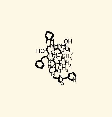 CC(C)(C)[C@H](NC(=O)O)C(=O)N[C@@H](Cc1ccccc1)[C@H](O)C[C@H](Cc1ccccc1)NC(=O)[C@@H](N1CCN(Cc2csc(-c3cccnc3)n2)C1=O)C(C)(C)C